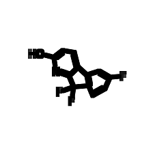 Oc1ccc2c(n1)C(F)(F)c1ccc(F)cc1-2